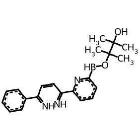 CC(C)(O)C(C)(C)OBc1cccc(C(=N)/C=C\C(=N)c2ccccc2)n1